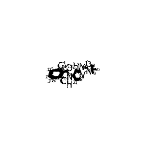 CC1(C)COC(Nc2cc(NC(=O)c3c(Cl)cccc3Cl)ccn2)=N1